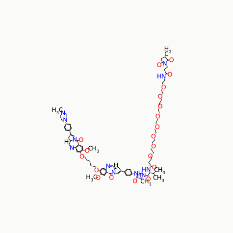 COc1cc2c(cc1OCCCCCOc1cc3c(cc1OC)C(=O)N1C=C(c4ccc(N5CCN(C)CC5)cc4)C[C@H]1C=N3)N=C[C@@H]1CC(c3ccc(NC(=O)[C@H](C)NC(=O)[C@@H](NC(=O)CCOCCOCCOCCOCCOCCOCCOCCOCCNC(=O)CCN4C(=O)CC(C)C4=O)C(C)C)cc3)=CN1C2=O